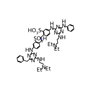 CCN(CC)CCNc1nc(Cc2ccccc2)nc(Nc2ccc(/C=C/c3ccc(Nc4nc(NCCN(CC)CC)nc(Nc5ccccc5)n4)cc3S(=O)(=O)O)c(S(=O)(=O)O)c2)n1